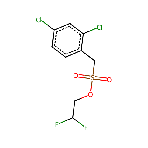 O=S(=O)(Cc1ccc(Cl)cc1Cl)OCC(F)F